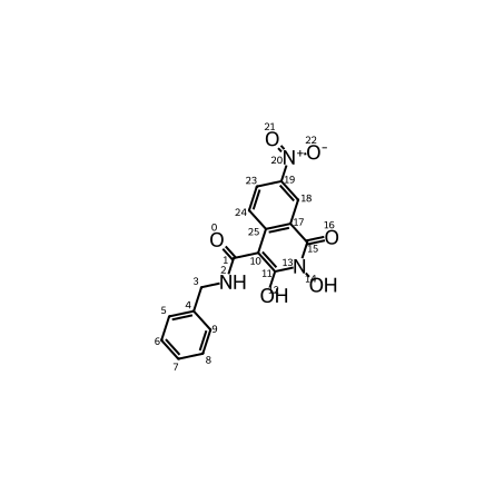 O=C(NCc1ccccc1)c1c(O)n(O)c(=O)c2cc([N+](=O)[O-])ccc12